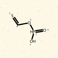 O=[PH](O)OC=S